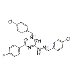 O=C(N=C(N/N=C/c1ccc(Cl)cc1)N/N=C/c1ccc(Cl)cc1)c1ccc(F)cc1